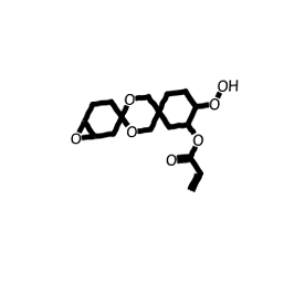 C=CC(=O)OC1CC2(CCC1OO)COC1(CCC3OC3C1)OC2